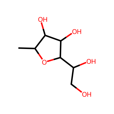 CC1OC(C(O)CO)C(O)C1O